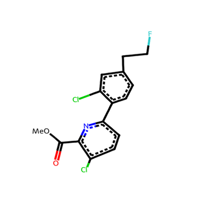 COC(=O)c1nc(-c2ccc(CCF)cc2Cl)ccc1Cl